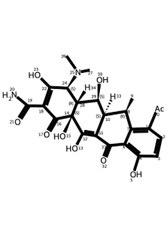 CC(=O)c1ccc(O)c2c1[C@H](C)[C@H]1C(=C(O)[C@]3(O)C(=O)C(C(N)=O)=C(O)[C@@H](N(C)C)[C@@H]3[C@H]1O)C2=O